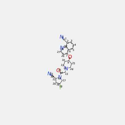 N#Cc1cccc2c(OC3CCN(CC(=O)N4C[C@@H](F)C[C@H]4C#N)CC3)ccnc12